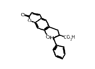 O=C(O)C(Cc1ccccc1)Cc1cc2ccc(=O)oc2cc1O